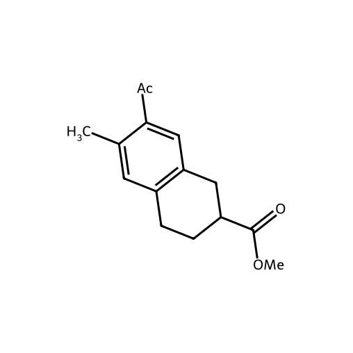 COC(=O)C1CCc2cc(C)c(C(C)=O)cc2C1